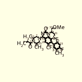 C=CC(=O)N1[C@H](C)CN(c2nc(=O)n3c4c(c(-c5cc(C)c(F)cc5F)c(C(F)(F)F)cc24)SC[C@@H]3COC)C[C@@H]1C